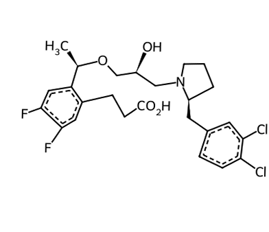 C[C@@H](OC[C@@H](O)CN1CCC[C@H]1Cc1ccc(Cl)c(Cl)c1)c1cc(F)c(F)cc1CCC(=O)O